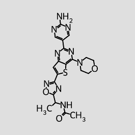 CC(=O)NC(C)c1nc(-c2cc3nc(-c4cnc(N)nc4)nc(N4CCOCC4)c3s2)no1